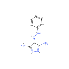 NC1=NN=C(N)C1=NNc1ccccc1